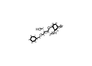 OC[C@@H](COCc1ccccc1)[C@H]1CNc2cc(Br)ccc2O1